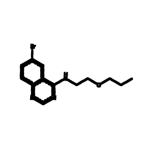 CCCOCCNc1ncnc2ccc(Br)cc12